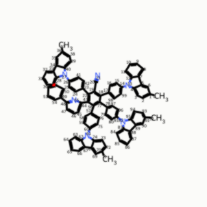 Cc1ccc2c(c1)c1ccccc1n2-c1ccc(-c2c(C#N)c(-c3ccc(-n4c5ccccc5c5cc(C)ccc54)cc3)c(-c3cccc(-c4ccccc4)n3)c(-c3ccc(-n4c5ccccc5c5cc(C)ccc54)cc3)c2-c2ccc(-n3c4ccccc4c4cc(C)ccc43)cc2)cc1